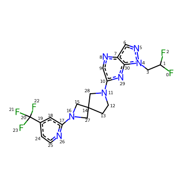 FC(F)Cn1ncc2ncc(N3CCC4(CN(c5cc(C(F)(F)F)ccn5)C4)C3)nc21